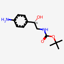 CC(C)(C)OC(=O)NC[C@@H](O)c1ccc(N)cc1